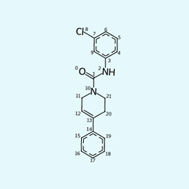 O=C(Nc1cccc(Cl)c1)N1CC=C(c2ccccc2)CC1